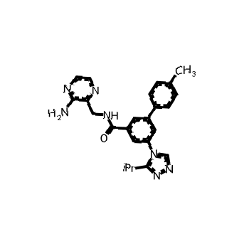 Cc1ccc(-c2cc(C(=O)NCc3nccnc3N)cc(-n3cnnc3C(C)C)c2)cc1